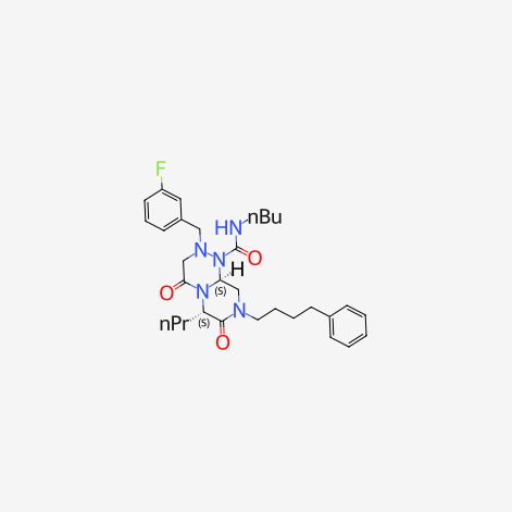 CCCCNC(=O)N1[C@H]2CN(CCCCc3ccccc3)C(=O)[C@H](CCC)N2C(=O)CN1Cc1cccc(F)c1